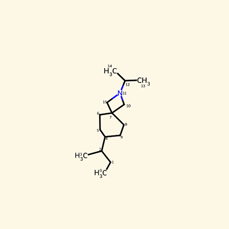 CCC(C)C1CCC2(CC1)CN(C(C)C)C2